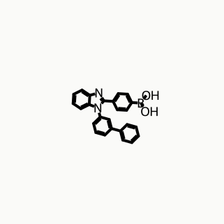 OB(O)c1ccc(-c2nc3ccccc3n2-c2cccc(-c3ccccc3)c2)cc1